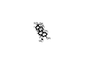 C#C[C@H]1[C@H](O)CC[C@@]2(C)[C@H]1CC[C@@H]1[C@@H]2CC[C@@]2(C)[C@H]1CCC2(O)O